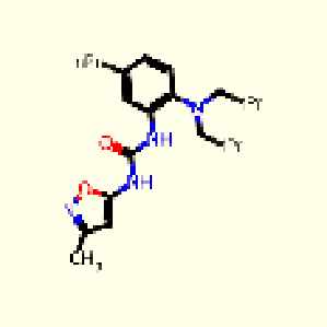 CCCc1ccc(N(CC(C)C)CC(C)C)c(NC(=O)Nc2cc(C)no2)c1